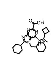 C[C@@H](Nc1nc(C(=O)O)nc2nc(C3CCCCC3)n(CC3CCCCC3)c12)C1CCC1